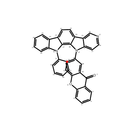 O=c1c2ccccc2oc2ccc(-n3c4ccncc4c4ccc5c6ccccc6n(-c6ccccc6)c5c43)cc12